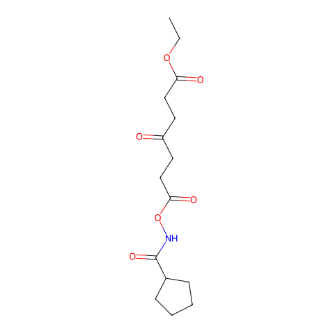 CCOC(=O)CCC(=O)CCC(=O)ONC(=O)C1CCCC1